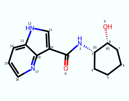 O=C(N[C@H]1CCCC[C@H]1O)c1c[nH]c2cccnc12